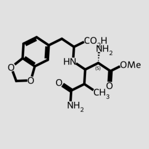 COC(=O)[C@@H](N)C(NC(Cc1ccc2c(c1)OCO2)C(=O)O)C(C)C(N)=O